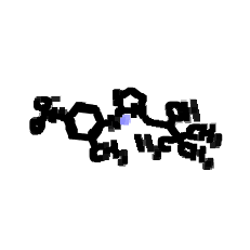 Cc1cc([N+](=O)[O-])ccc1/N=C1\SCCN1CC(O)C(C)(C)C